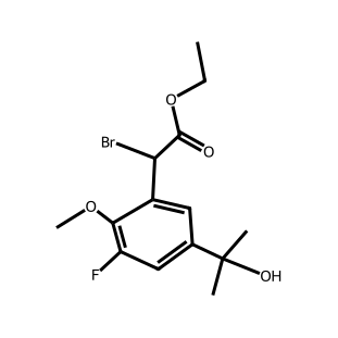 CCOC(=O)C(Br)c1cc(C(C)(C)O)cc(F)c1OC